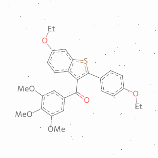 CCOc1ccc(-c2sc3cc(OCC)ccc3c2C(=O)c2cc(OC)c(OC)c(OC)c2)cc1